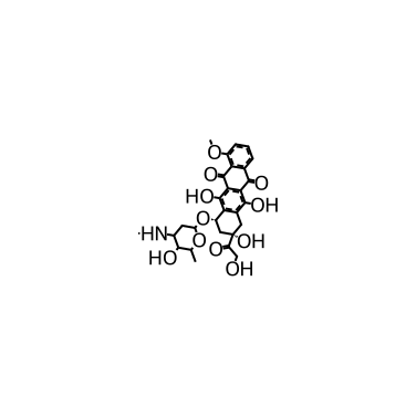 COc1cccc2c1C(=O)c1c(O)c3c(c(O)c1C2=O)C[C@@](O)(C(=O)CO)C[C@@H]3OC1CC([NH])C(O)C(C)O1